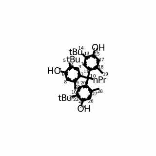 CCCC(c1cc(C(C)(C)C)c(O)cc1C)(c1cc(C(C)(C)C)c(O)cc1C)c1cc(C(C)(C)C)c(O)cc1C